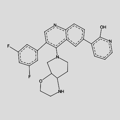 Oc1ncccc1-c1ccc2ncc(-c3cc(F)cc(F)c3)c(N3CCC4NCCOC4C3)c2c1